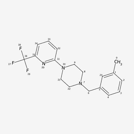 Cc1cccc(CN2CCN(c3cccc(C(F)(F)F)n3)CC2)c1